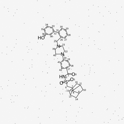 O=C(NS(=O)(=O)CC12CC3CC(CC(C3)C1)C2)c1ccc(N2CCN(Cc3ccccc3-c3cccc(O)c3)CC2)cc1